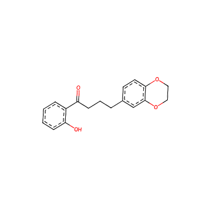 O=C(CCCc1ccc2c(c1)OCCO2)c1ccccc1O